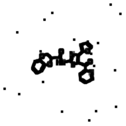 O=C(c1ccccn1)c1sc(NC(=O)C2COc3ccccc3O2)nc1-c1ccco1